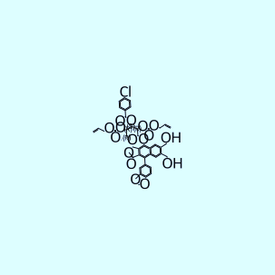 C=CCOC(=O)O[C@H]1[C@H](OC(=O)c2ccc(Cl)cc2)[C@@H](OC(=O)OCC=C)C(Oc2c3c(c(-c4ccc5c(c4)OCO5)c4cc(CO)c(CO)cc24)C(=O)OC3)O[C@@H]1C